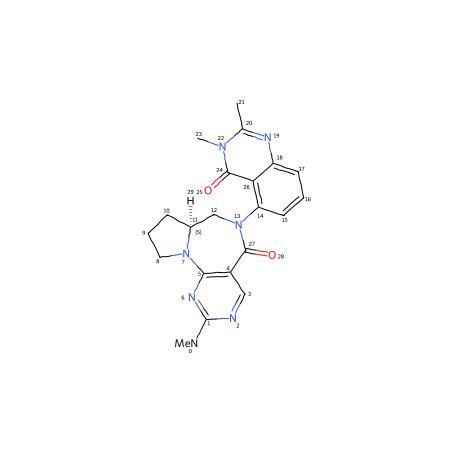 CNc1ncc2c(n1)N1CCC[C@H]1CN(c1cccc3nc(C)n(C)c(=O)c13)C2=O